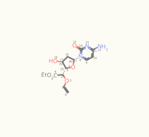 C=COC(C(=O)OCC)[C@H]1O[C@@H](n2ccc(N)nc2=O)C[C@@H]1O